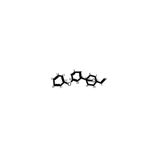 C=CC12CCC(c3cccc(Oc4ccccc4)c3)(CC1)CO2